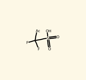 CC(=O)C(F)(F)S(=O)(=O)O